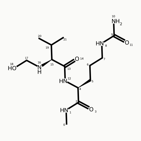 CNC(=O)[C@H](CCCNC(N)=O)NC(=O)[C@@H](NCO)C(C)C